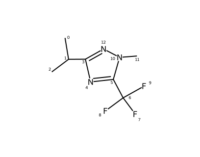 CC(C)c1nc(C(F)(F)F)n(C)n1